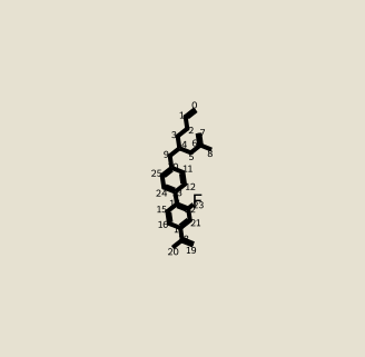 C=CCCC(CC(=C)C)Cc1ccc(-c2ccc(C(=C)C)cc2F)cc1